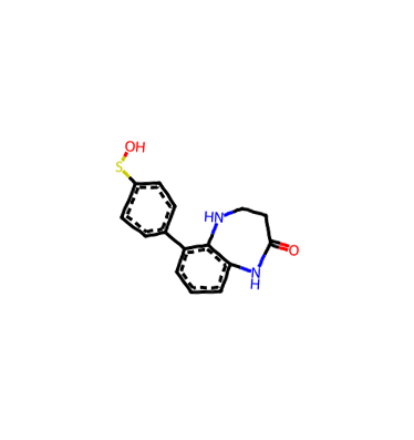 O=C1CCNc2c(cccc2-c2ccc(SO)cc2)N1